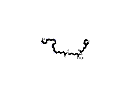 CC/C=C\C/C=C\C/C=C\C/C=C\C/C=C\CCCC(=O)NCCCCC(NC(=O)C/C=C/c1cccnc1)C(=O)O